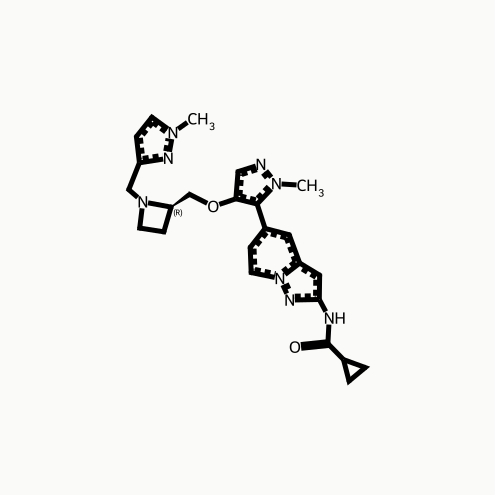 Cn1ccc(CN2CC[C@@H]2COc2cnn(C)c2-c2ccn3nc(NC(=O)C4CC4)cc3c2)n1